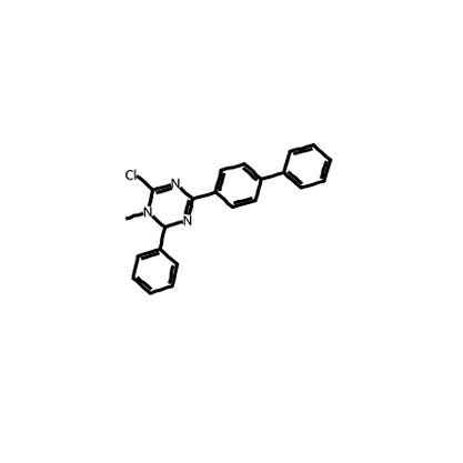 CN1C(Cl)=NC(c2ccc(-c3ccccc3)cc2)=NC1c1ccccc1